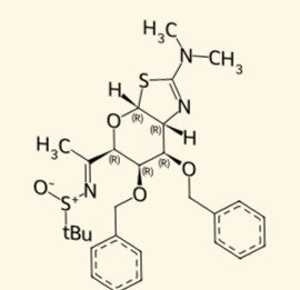 CC(=N[S+]([O-])C(C)(C)C)[C@H]1O[C@@H]2SC(N(C)C)=N[C@@H]2[C@@H](OCc2ccccc2)[C@H]1OCc1ccccc1